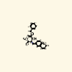 COC(=O)/C(=C/c1ccc2c(c1)CCCO2)NC(=O)OCc1ccccc1